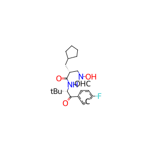 CC(C)(C)[C@H](NC(=O)[C@H](CC1CCCC1)CN(O)C=O)C(=O)c1ccc(F)cc1